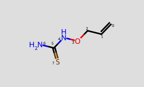 C=CCONC(N)=S